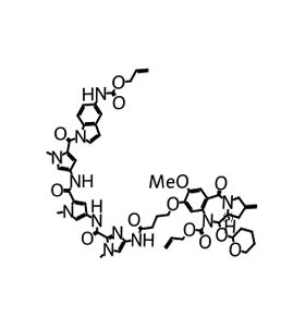 C=CCOC(=O)Nc1ccc2c(ccn2C(=O)c2cc(NC(=O)c3cc(NC(=O)c4nc(NC(=O)CCCOc5cc6c(cc5OC)C(=O)N5CC(=C)C[C@H]5C(OC5CCCCO5)N6C(=O)OCC=C)cn4C)cn3C)cn2C)c1